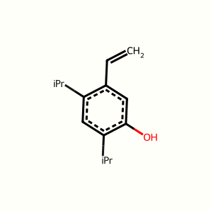 C=Cc1cc(O)c(C(C)C)cc1C(C)C